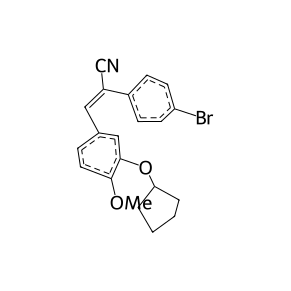 COc1ccc(C=C(C#N)c2ccc(Br)cc2)cc1OC1CCCC1